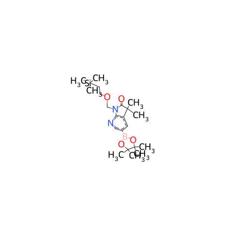 CC1(C)C(=O)N(COCC[Si](C)(C)C)c2ncc(B3OC(C)(C)C(C)(C)O3)cc21